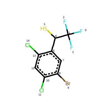 FC(F)(F)C(S)c1cc(Br)c(Cl)cc1Cl